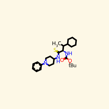 CC(C1CCCCC1)[C@@H](NC(=O)OC(C)(C)C)C(=S)NC1CCN(c2ccccc2)CC1